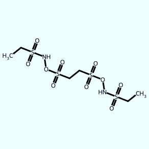 CCS(=O)(=O)NOS(=O)(=O)CCS(=O)(=O)ONS(=O)(=O)CC